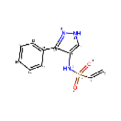 C=CS(=O)(=O)Nc1c[nH]nc1-c1ccccc1